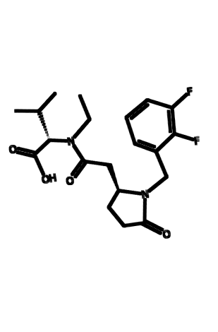 CCN(C(=O)C[C@@H]1CCC(=O)N1Cc1cccc(F)c1F)[C@H](C(=O)O)C(C)C